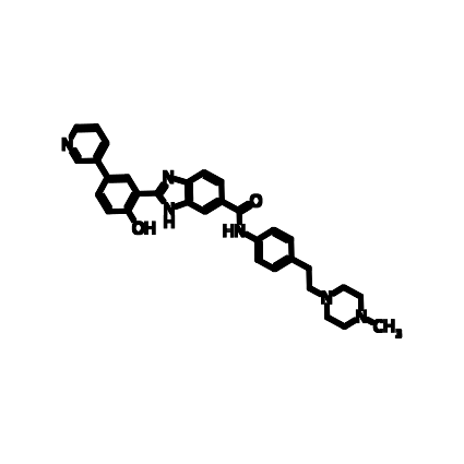 CN1CCN(CCc2ccc(NC(=O)c3ccc4nc(-c5cc(-c6cccnc6)ccc5O)[nH]c4c3)cc2)CC1